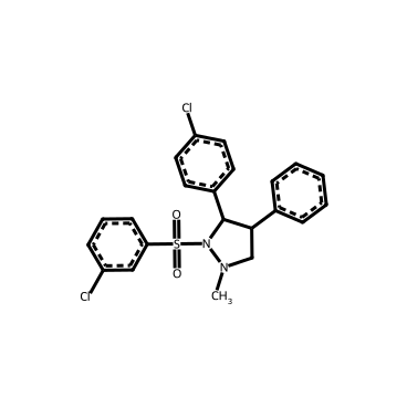 CN1CC(c2ccccc2)C(c2ccc(Cl)cc2)N1S(=O)(=O)c1cccc(Cl)c1